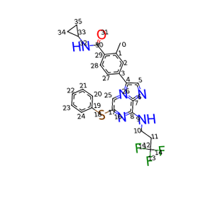 Cc1cc(-c2cnc3c(NCCC(F)(F)F)nc(Sc4ccccc4)cn23)ccc1C(=O)NC1CC1